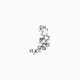 CCCCc1cccc2c(Cl)c(C(=O)OCC)cnc12